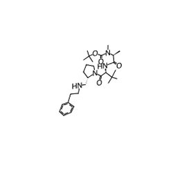 C[C@@H](C(=O)N[C@H](C(=O)N1CCC[C@H]1CNCCc1ccccc1)C(C)(C)C)N(C)C(=O)OC(C)(C)C